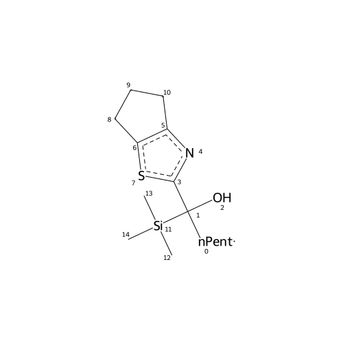 CCCC[CH]C(O)(c1nc2c(s1)CCC2)[Si](C)(C)C